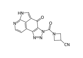 N#CC1CN(C(=O)n2nnc3c2C(=O)c2c[nH]c4nccc-3c24)C1